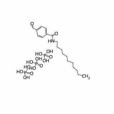 CCCCCCCCCCCNC(=O)c1ccc(C=O)cc1.O=P(O)(O)O.O=P(O)(O)O.O=P(O)(O)O